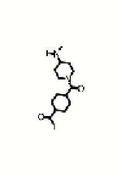 CN(I)C1CCN(C(=O)C2CCC(C(=O)I)CC2)CC1